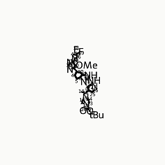 COc1c(-c2ccc3nc(Nc4cc(C(C)N5CCN(C(=O)OC(C)(C)C)CC5)ccn4)[nH]c3c2)ncnc1N1CC(F)(F)C1